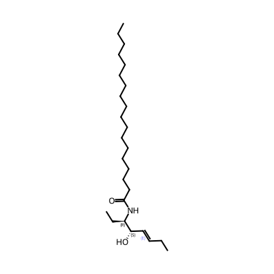 CC/C=C/[C@H](O)[C@@H](CC)NC(=O)CCCCCCCCCCCCCCCCC